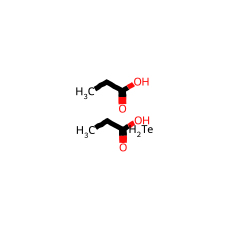 CCC(=O)O.CCC(=O)O.[TeH2]